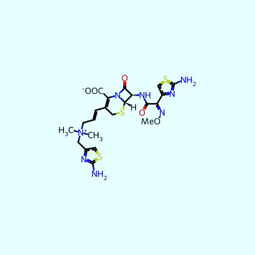 CO/N=C(\C(=O)N[C@@H]1C(=O)N2C(C(=O)[O-])=C(/C=C/C[N+](C)(C)Cc3csc(N)n3)CS[C@@H]12)c1csc(N)n1